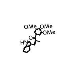 COc1cc(C(=O)C(C)=Cc2c[nH]c3ccccc23)cc(OC)c1OC